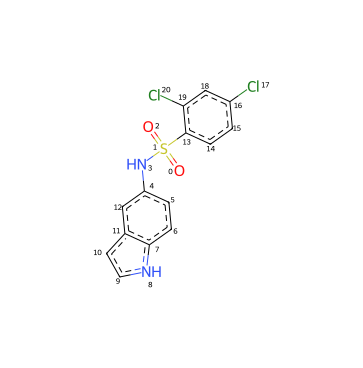 O=S(=O)(Nc1ccc2[nH]ccc2c1)c1ccc(Cl)cc1Cl